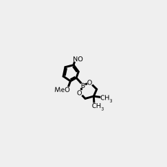 COc1ccc(N=O)cc1B1OCC(C)(C)CO1